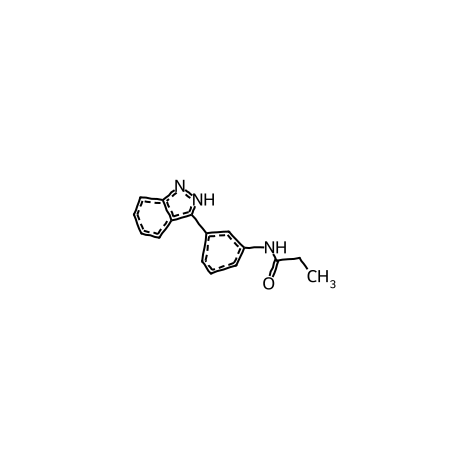 CCC(=O)Nc1cccc(-c2[nH]nc3ccccc23)c1